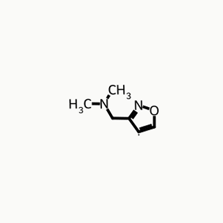 CN(C)Cc1[c]con1